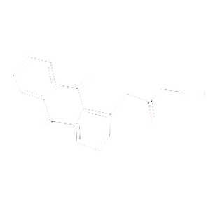 O=C(O)CC(=O)Cc1cccc2c1C(=O)c1ccccc1C2=O